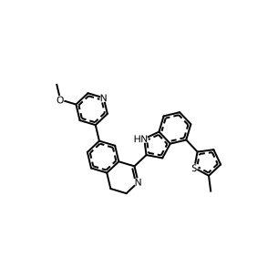 COc1cncc(-c2ccc3c(c2)C(c2cc4c(-c5ccc(C)s5)cccc4[nH]2)=NCC3)c1